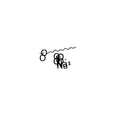 CCCCCCCCCCCCOC(C)=O.O=S(=O)([O-])[O-].[Na+].[Na+]